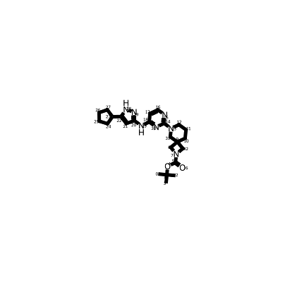 CC(C)(C)OC(=O)N1CC2(CCCN(c3nccc(Nc4cc(C5CCCC5)[nH]n4)n3)C2)C1